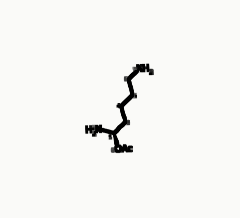 CC(=O)O[C@@H](N)CCCCN